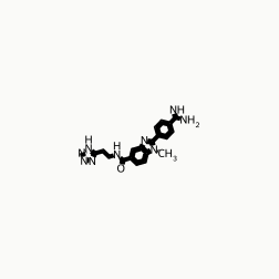 Cn1c(-c2ccc(C(=N)N)cc2)nc2cc(C(=O)NCCc3nnn[nH]3)ccc21